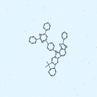 CC1(C)c2ccccc2-c2cc3c4ccc5nc(-c6ccccc6)sc5c4n(-c4ccc(-c5cc(-c6ccccc6)nc(-c6ccccc6)n5)cc4)c3cc21